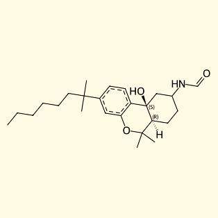 CCCCCCC(C)(C)c1ccc2c(c1)OC(C)(C)[C@@H]1CCC(NC=O)C[C@@]21O